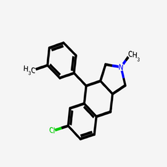 Cc1cccc(C2c3cc(Cl)ccc3CC3CN(C)CC32)c1